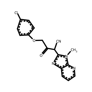 Cn1c(C(C#N)C(=O)COc2ccc(Cl)cc2)nc2cccnc21